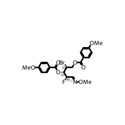 CO/N=C/[C@@H](F)[C@H](OC(=O)c1ccc(OC)cc1)[C@@H](Br)COC(=O)c1ccc(OC)cc1